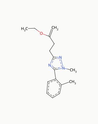 C=C(CCc1nc(-c2ccccc2C)n(C)n1)OCC